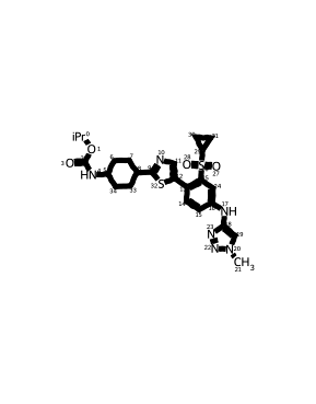 CC(C)OC(=O)NC1CCC(c2ncc(-c3ccc(Nc4cn(C)nn4)cc3S(=O)(=O)C3CC3)s2)CC1